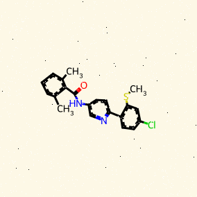 CSc1cc(Cl)ccc1-c1ccc(NC(=O)c2c(C)cccc2C)cn1